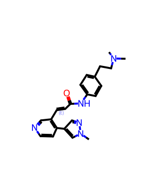 CN(C)CCc1ccc(NC(=O)/C=C/c2cnccc2-c2cnn(C)c2)cc1